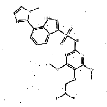 COc1nc(NS(=O)(=O)c2c[nH]c3c(-c4nccn4C)cccc23)nc(OC)c1OCC(F)F